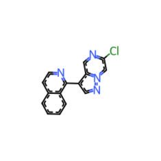 Clc1cn2ncc(-c3nccc4ccccc34)c2cn1